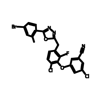 Cc1cc(Br)ccc1-c1nnc(Cc2ccc(Cl)c(Oc3cc(Cl)cc(C#N)c3)c2F)o1